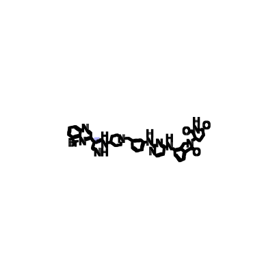 N=C/C(=C\NC1CCN(Cc2cccc(Nc3nccc(Nc4cccc5c4CN(C4CCC(=O)NC4=O)C5=O)n3)c2)CC1)c1cnc2cccc(Br)c2n1